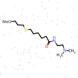 COCCCSCCCCCC(=O)NCCN(C)C